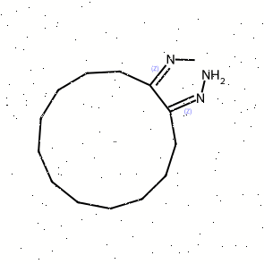 C/N=C1/CCCCCCCCCCC/C1=N/N